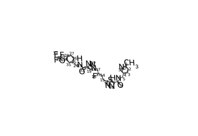 Cc1ccc(CNC(=O)c2nnc(CCC(F)Cn3cc(C(=O)NCc4cccc(OC(F)(F)F)c4)nn3)s2)cn1